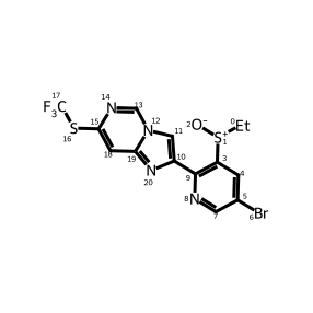 CC[S+]([O-])c1cc(Br)cnc1-c1cn2cnc(SC(F)(F)F)cc2n1